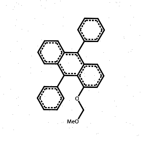 COCOc1cccc2c(-c3ccccc3)c3ccccc3c(-c3ccccc3)c12